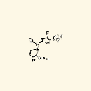 CCN(c1ccc(C(=O)O)c(F)c1)c1ccc(C(C)C)c(OCC(C)C)c1